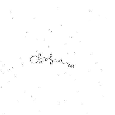 O=C(NCCOCCO)OC[C@@H]1[C@@H]2CC/C=C\CC[C@@H]21